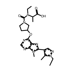 CCN(C(=O)N1CCC(Oc2ncnc3c2nc(-c2cnn(CC)c2C)n3C)C1)C(C)C(=O)O